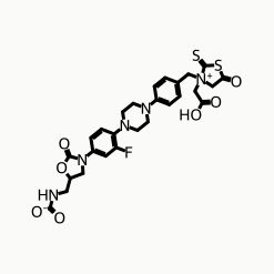 O=C(O)C[N+]1(Cc2ccc(N3CCN(c4ccc(N5CC(CNC(=O)[O-])OC5=O)cc4F)CC3)cc2)CC(=O)SC1=S